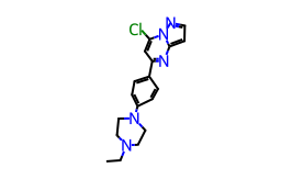 CCN1CCN(c2ccc(-c3cc(Cl)n4nccc4n3)cc2)CC1